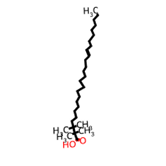 CCCCCCCCC=CCCCCCCCCCCCCCC(C)(C)C(C)(C)C(=O)O